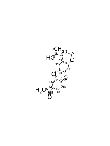 C=C(O)C1CCOc2cc(Oc3ccc(C(C)=O)cc3)c(Cl)cc21